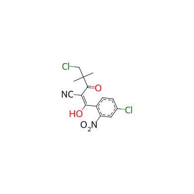 CC(C)(CCl)C(=O)C(C#N)=C(O)c1ccc(Cl)cc1[N+](=O)[O-]